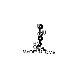 COCCCn1c(=O)c2[nH]c(-c3ccc(S(=O)(=O)NCc4cccnc4)cc3)cc2n(CCCOC)c1=O